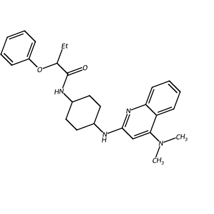 CCC(Oc1ccccc1)C(=O)NC1CCC(Nc2cc(N(C)C)c3ccccc3n2)CC1